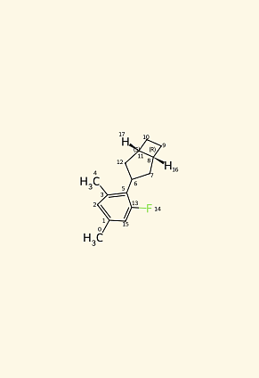 Cc1cc(C)c(C2C[C@H]3CC[C@H]3C2)c(F)c1